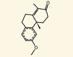 COc1ccc2c(c1)[C@@]1(C)CCC(=O)C(C)=C1CC2